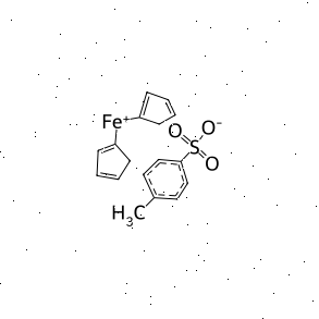 C1=CC[C]([Fe+][C]2=CC=CC2)=C1.Cc1ccc(S(=O)(=O)[O-])cc1